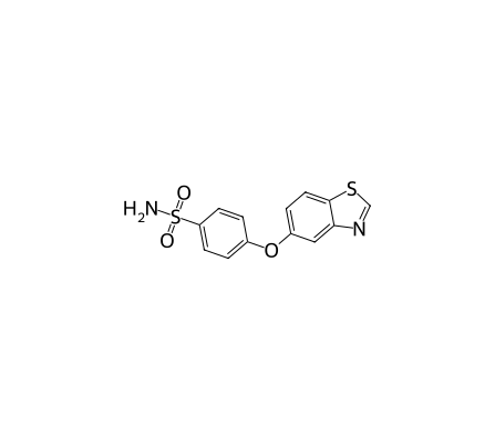 NS(=O)(=O)c1ccc(Oc2ccc3scnc3c2)cc1